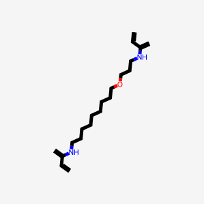 C=CC(=C)NCCCCCCCCCOCCCNC(=C)C=C